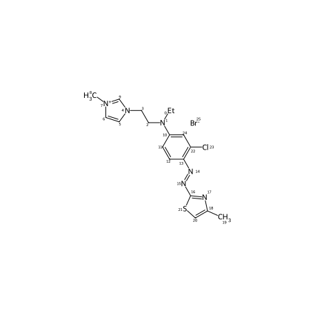 CCN(CCn1cc[n+](C)c1)c1ccc(N=Nc2nc(C)cs2)c(Cl)c1.[Br-]